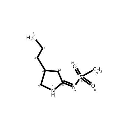 CCCC1CN/C(=N/S(C)(=O)=O)C1